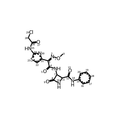 CON=C(C(=O)NC1C(=O)NC1C(=O)Nc1ccccc1)c1csc(NC(=O)CCl)n1